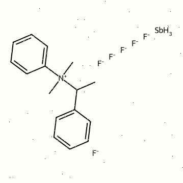 CC(c1ccccc1)[N+](C)(C)c1ccccc1.[F-].[F-].[F-].[F-].[F-].[F-].[SbH3]